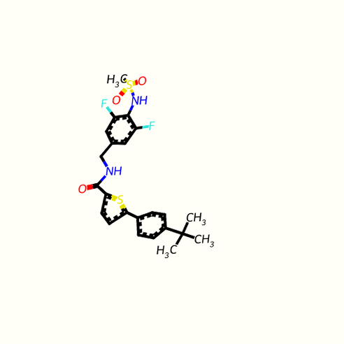 CC(C)(C)c1ccc(-c2ccc(C(=O)NCc3cc(F)c(NS(C)(=O)=O)c(F)c3)s2)cc1